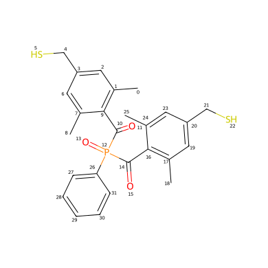 Cc1cc(CS)cc(C)c1C(=O)P(=O)(C(=O)c1c(C)cc(CS)cc1C)c1ccccc1